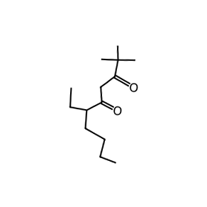 CCCCC(CC)C(=O)CC(=O)C(C)(C)C